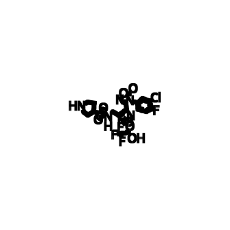 O=C(O)C(F)(F)F.O=c1onc(-c2nonc2CNS(=O)(=O)C2CCNCC2)n1-c1ccc(F)c(Cl)c1